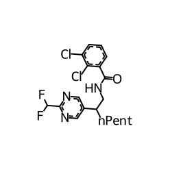 CCCCCC(CNC(=O)c1cccc(Cl)c1Cl)c1cnc(C(F)F)nc1